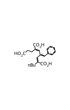 CCCCC(=CC(=Cc1ccccc1)C=C(CCC(=O)O)C(=O)O)C(=O)O